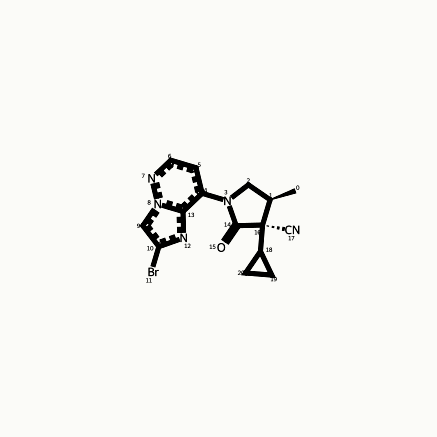 C[C@@H]1CN(c2ccnn3cc(Br)nc23)C(=O)[C@]1(C#N)C1CC1